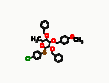 COc1ccc(CO[C@@H]2[C@H](OCc3ccccc3)[C@H](C)O[C@H](Sc3ccc(Cl)cc3)[C@H]2OCc2ccccc2)cc1